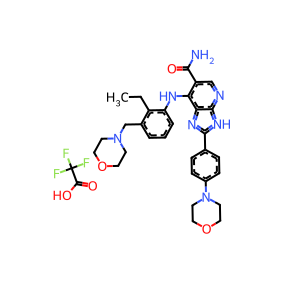 CCc1c(CN2CCOCC2)cccc1Nc1c(C(N)=O)cnc2[nH]c(-c3ccc(N4CCOCC4)cc3)nc12.O=C(O)C(F)(F)F